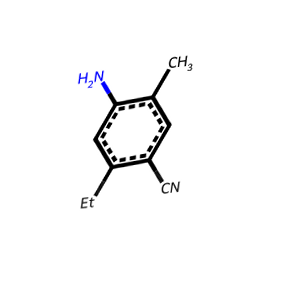 CCc1cc(N)c(C)cc1C#N